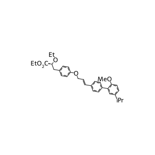 CCOC(=O)[C@H](Cc1ccc(OCC=Cc2ccc(-c3cc(C(C)C)ccc3OC)cc2)cc1)OCC